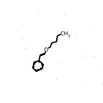 CCCCCO/C=C/c1ccccc1